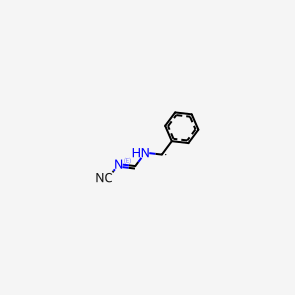 N#C/N=C/N[CH]c1ccccc1